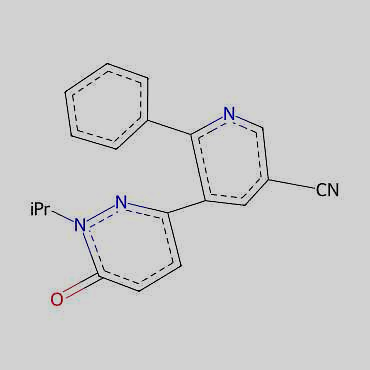 CC(C)n1nc(-c2cc(C#N)cnc2-c2ccccc2)ccc1=O